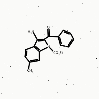 CCOC(=O)n1c(C(=O)c2ccccc2)c(N)c2ccc(C)cc21